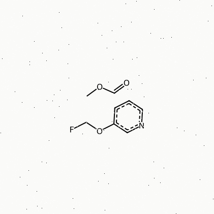 COC=O.FCOc1cccnc1